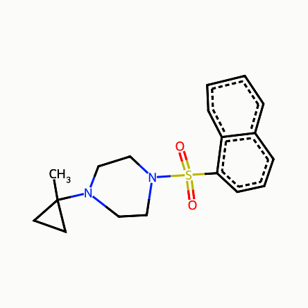 CC1(N2CCN(S(=O)(=O)c3cccc4ccccc34)CC2)CC1